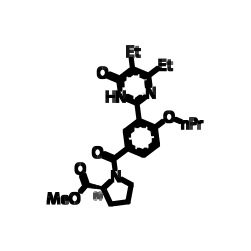 CCCOc1ccc(C(=O)N2CCC[C@H]2C(=O)OC)cc1-c1nc(CC)c(CC)c(=O)[nH]1